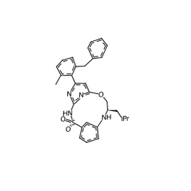 Cc1cccc(Cc2ccccc2)c1-c1cc2nc(n1)NS(=O)(=O)c1cccc(c1)N[C@H](CC(C)C)CO2